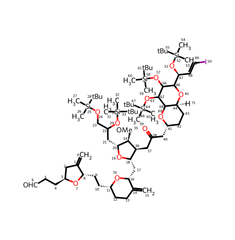 C=C1C[C@H](CCC=O)O[C@H]1CC[C@H]1CCC(=C)[C@@H](C[C@@H]2O[C@H](CC(CO[Si](C)(C)C(C)(C)C)O[Si](C)(C)C(C)(C)C)[C@@H](OC)[C@H]2CC(=O)C[C@H]2CC[C@@H]3OC([C@H](/C=C/I)O[Si](C)(C)C(C)(C)C)C(O[Si](C)(C)C(C)(C)C)C(O[Si](C)(C)C(C)(C)C)C3O2)O1